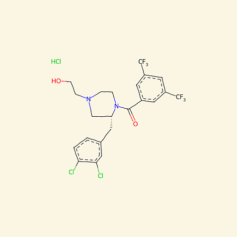 Cl.O=C(c1cc(C(F)(F)F)cc(C(F)(F)F)c1)N1CCN(CCO)C[C@H]1Cc1ccc(Cl)c(Cl)c1